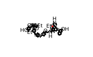 CCNC(=O)c1nnc(-c2cc(CC)c(O)cc2O)n1-c1ccc(CN2CCN(CC3CCN(C(=O)CCNc4nc5c(c(C(=O)CC)n4)C(N4CCNCC4)CN(c4cc(O)cc6ccccc46)C5)CC3)CC2)cc1